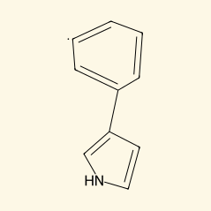 [c]1cccc(-c2cc[nH]c2)c1